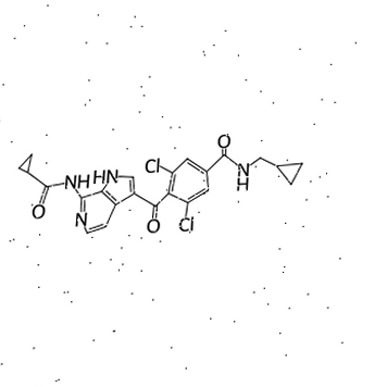 O=C(NCC1CC1)c1cc(Cl)c(C(=O)c2c[nH]c3c(NC(=O)C4CC4)nccc23)c(Cl)c1